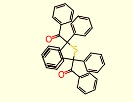 O=C(c1ccccc1)C(SC(C(=O)c1ccccc1)(c1ccccc1)c1ccccc1)(c1ccccc1)c1ccccc1